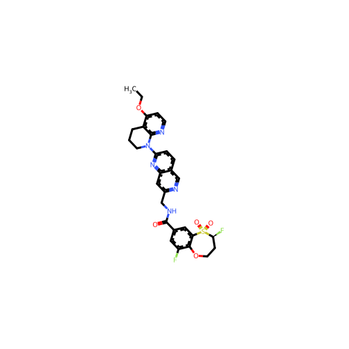 CCOc1ccnc2c1CCCN2c1ccc2cnc(CNC(=O)c3cc(F)c4c(c3)S(=O)(=O)[C@@H](F)CCO4)cc2n1